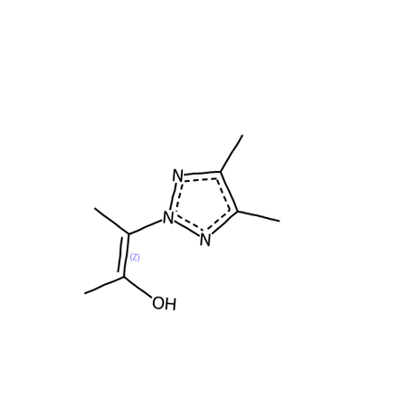 C/C(O)=C(\C)n1nc(C)c(C)n1